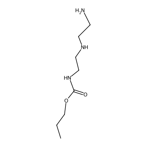 CCCOC(=O)NCCNCCN